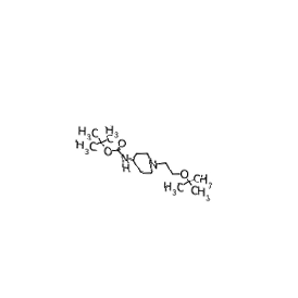 CC(C)(C)OCCN1CCC(NC(=O)OC(C)(C)C)CC1